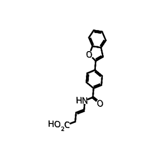 O=C(O)CC=CNC(=O)c1ccc(-c2cc3ccccc3o2)cc1